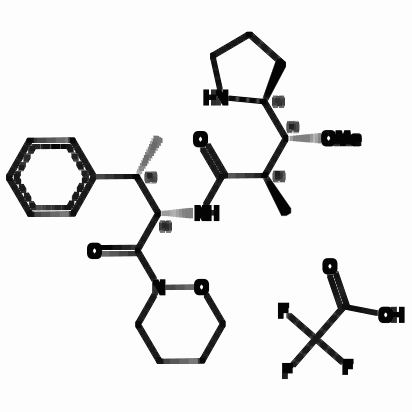 CO[C@@H]([C@@H]1CCCN1)[C@@H](C)C(=O)N[C@H](C(=O)N1CCCCO1)[C@@H](C)c1ccccc1.O=C(O)C(F)(F)F